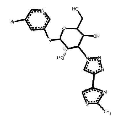 Cc1nc(-c2cn(C3C(O)C(CO)OC(Sc4cncc(Br)c4)[C@H]3O)nn2)cs1